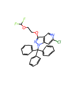 FC(F)OCCOc1nn(C(c2ccccc2)(c2ccccc2)c2ccccc2)c2cc(Cl)ncc12